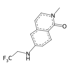 Cn1ccc2cc(NCC(F)(F)F)ccc2c1=O